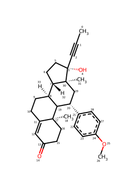 CC#C[C@]1(O)CC[C@H]2[C@@H]3CCC4=CC(=O)CC[C@]4(C)C3[C@@H](c3ccc(OC)cc3)C[C@@]21C